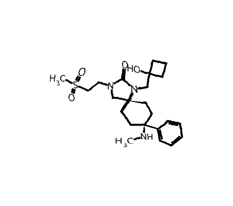 CN[C@]1(c2ccccc2)CC[C@@]2(CC1)CN(CCS(C)(=O)=O)C(=O)N2CC1(O)CCC1